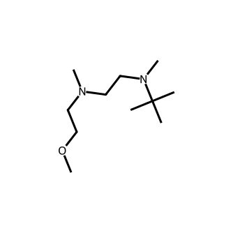 COCCN(C)CCN(C)C(C)(C)C